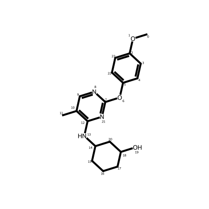 COc1ccc(Oc2ncc(C)c(NC3CCCC(O)C3)n2)cc1